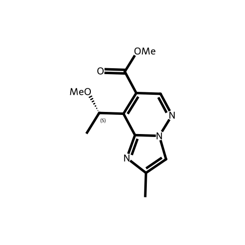 COC(=O)c1cnn2cc(C)nc2c1[C@H](C)OC